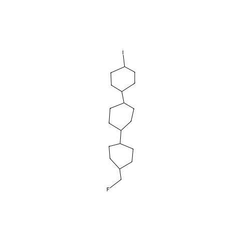 FCC1CCC(C2CCC(C3CCC(I)CC3)CC2)CC1